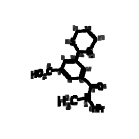 CCCN(C)C(=O)c1cc(C(=O)O)cc(C2SCCCS2)c1